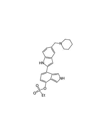 CCS(=O)(=O)Oc1ccc(-c2cc3cc(CN4CCCCC4)ccc3[nH]2)c2c[nH]cc12